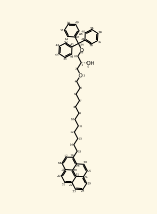 O[C@H](COCCCCCCCCCCCCc1ccc2ccc3cccc4ccc1c2c34)COC(c1ccccc1)(c1ccccc1)c1ccccc1